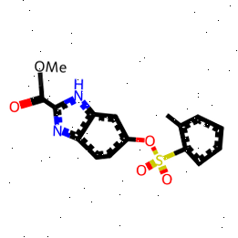 COC(=O)c1nc2ccc(OS(=O)(=O)c3ccccc3C)cc2[nH]1